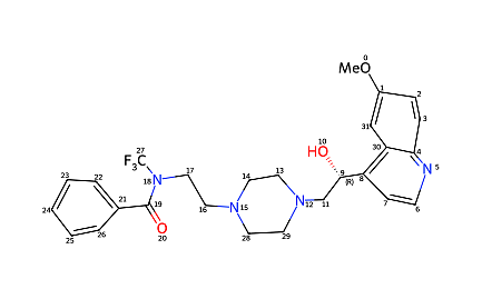 COc1ccc2nccc([C@@H](O)CN3CCN(CCN(C(=O)c4ccccc4)C(F)(F)F)CC3)c2c1